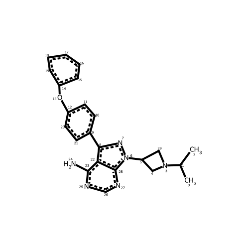 CC(C)N1[CH]C(n2nc(-c3ccc(Oc4ccccc4)cc3)c3c(N)ncnc32)C1